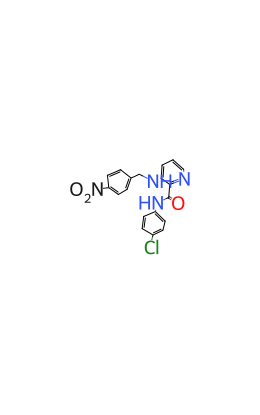 O=C(Nc1ccc(Cl)cc1)c1ncccc1NCc1ccc([N+](=O)[O-])cc1